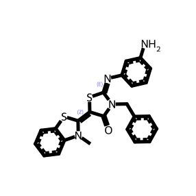 CN1/C(=C2/S/C(=N/c3cccc(N)c3)N(Cc3ccccc3)C2=O)Sc2ccccc21